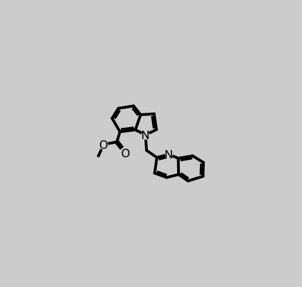 COC(=O)c1cccc2ccn(Cc3ccc4ccccc4n3)c12